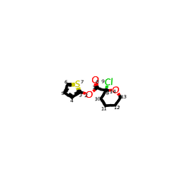 O=C(Oc1cccs1)C1(Cl)CCCCO1